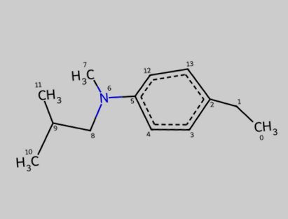 CCc1ccc(N(C)CC(C)C)cc1